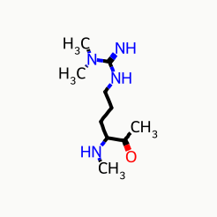 CNC(CCCNC(=N)N(C)C)C(C)=O